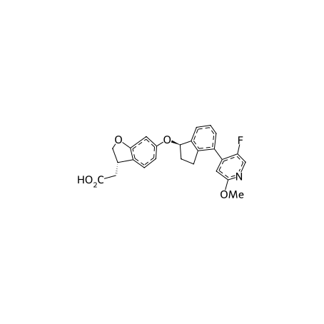 COc1cc(-c2cccc3c2CC[C@H]3Oc2ccc3c(c2)OC[C@H]3CC(=O)O)c(F)cn1